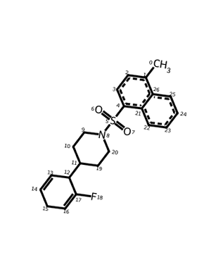 Cc1ccc(S(=O)(=O)N2CCC(C3C=CCC=C3F)CC2)c2ccccc12